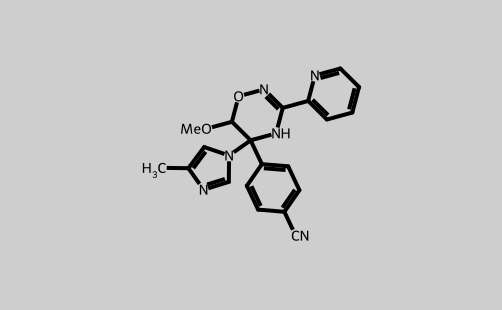 COC1ON=C(c2ccccn2)NC1(c1ccc(C#N)cc1)n1cnc(C)c1